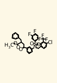 COC(=O)C(CC(=O)c1cccc(N(Cc2ccc(Cl)c(C(F)(F)F)c2)S(=O)(=O)c2ccc(F)c(F)c2)c1)Cc1ccccc1